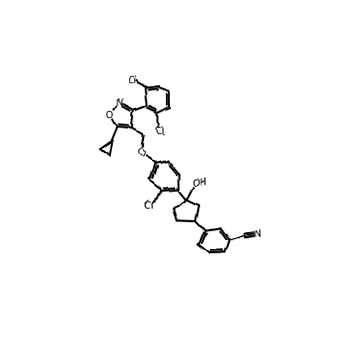 N#Cc1cccc(C2CCC(O)(c3ccc(OCc4c(-c5c(Cl)cccc5Cl)noc4C4CC4)cc3Cl)C2)c1